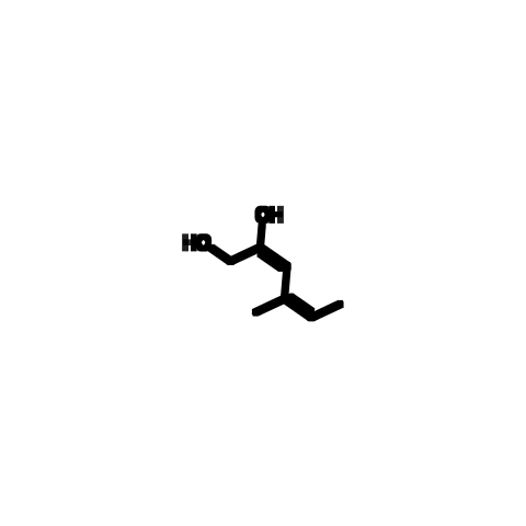 C/C=C(C)\C=C(\O)CO